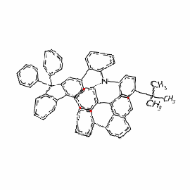 CC(C)(C)c1ccc(N(c2ccccc2-c2ccc3c(c2)C(c2ccccc2)(c2ccccc2)c2ccccc2-3)c2ccccc2-c2cccc3cccc(-c4ccccc4)c23)cc1